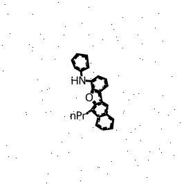 CCCc1c2ccccc2cc2c1oc1c(Nc3ccccc3)cccc12